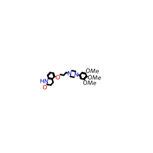 COc1cc(N2CCN(CCCOc3cccc4c3CCC(=O)N4)CC2)cc(OC)c1OC